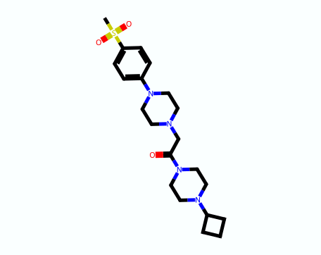 CS(=O)(=O)c1ccc(N2CCN(CC(=O)N3CCN(C4CCC4)CC3)CC2)cc1